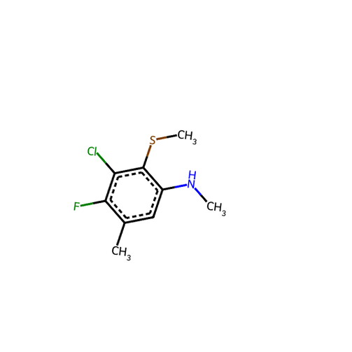 CNc1cc(C)c(F)c(Cl)c1SC